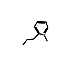 CCCc1cccc[n+]1C